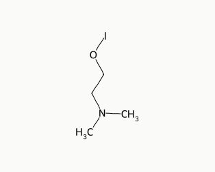 CN(C)CCOI